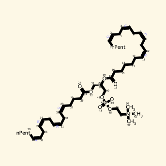 CCCCC/C=C\C/C=C\C/C=C\C/C=C\CCCCCC(=O)O[C@H](COC(=O)CCC/C=C\C/C=C\C/C=C\C/C=C\CCCCC)COP(=O)([O-])OCC[N+](C)(C)C